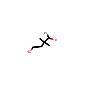 CC(C)C(O)C(C)(C)CCO